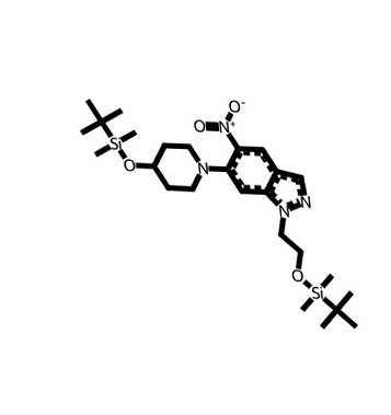 CC(C)(C)[Si](C)(C)OCCn1ncc2cc([N+](=O)[O-])c(N3CCC(O[Si](C)(C)C(C)(C)C)CC3)cc21